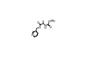 CC(NC(=O)OC(C)(C)C)C(=O)OCc1cccnc1